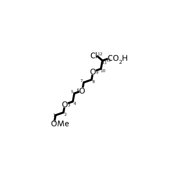 COCCOCCOCCOCC(Cl)C(=O)O